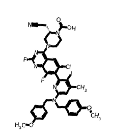 COc1ccc(CN(Cc2ccc(OC)cc2)c2cc(C)c(I)c(-c3c(Cl)cc4c(N5CCN(C(=O)O)[C@@H](CC#N)C5)nc(F)nc4c3F)n2)cc1